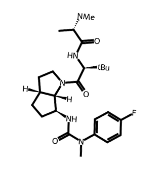 CN[C@@H](C)C(=O)N[C@H](C(=O)N1CC[C@H]2CC[C@H](NC(=O)N(C)c3ccc(F)cc3)[C@H]21)C(C)(C)C